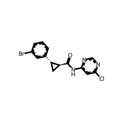 O=C(Nc1cc(Cl)ncn1)[C@H]1C[C@@H]1c1cccc(Br)c1